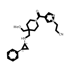 COCC1(CN[C@@H]2C[C@H]2c2ccccc2)CCN(C(=O)c2cnn(CCC#N)c2)CC1